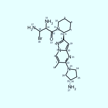 Cc1cn2nc([C@@H]3CCCCN3C(=O)C(N)C(N)Br)cc2nc1N1CC[C@H](N)C1